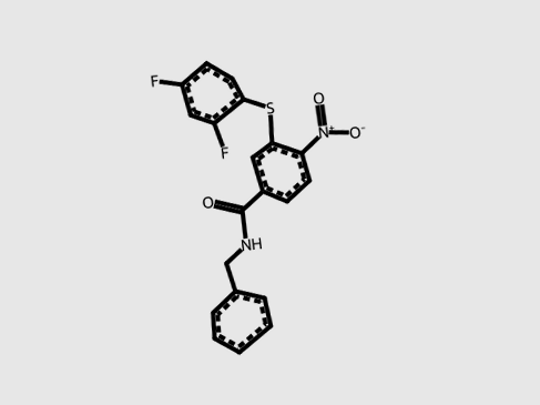 O=C(NCc1ccccc1)c1ccc([N+](=O)[O-])c(Sc2ccc(F)cc2F)c1